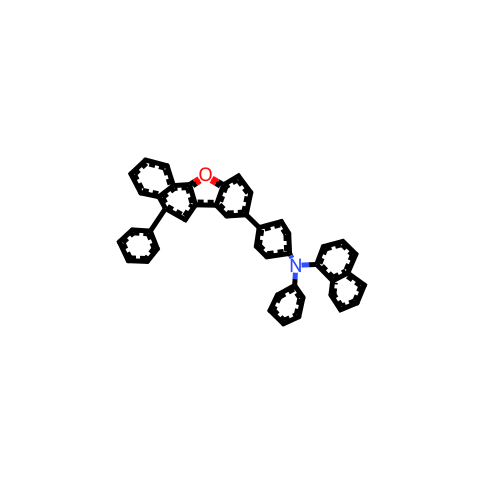 c1ccc(-c2cc3c4cc(-c5ccc(N(c6ccccc6)c6cccc7ccccc67)cc5)ccc4oc3c3ccccc23)cc1